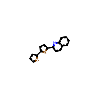 c1csc(-c2ccc(-c3ccc4ccccc4n3)s2)c1